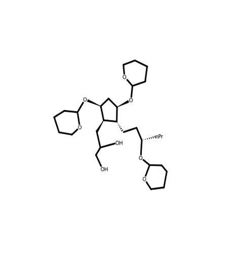 CCC[C@@H](CC[C@@H]1[C@@H](CC(O)CO)[C@@H](OC2CCCCO2)C[C@H]1OC1CCCCO1)OC1CCCCO1